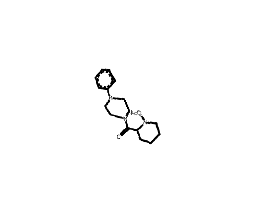 CC(=O)ON1CCCCC1C(=O)N1CCN(c2ccccc2)CC1